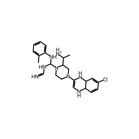 Cc1ccccc1NC(NC=N)N1CCN(C2=CNC3C=CC(Cl)=CC3N2)CC1C(C)N